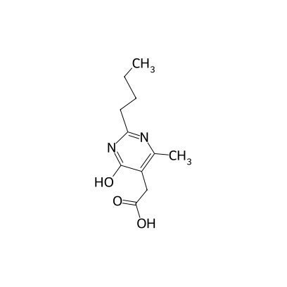 CCCCc1nc(C)c(CC(=O)O)c(O)n1